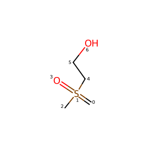 C=S(C)(=O)CCO